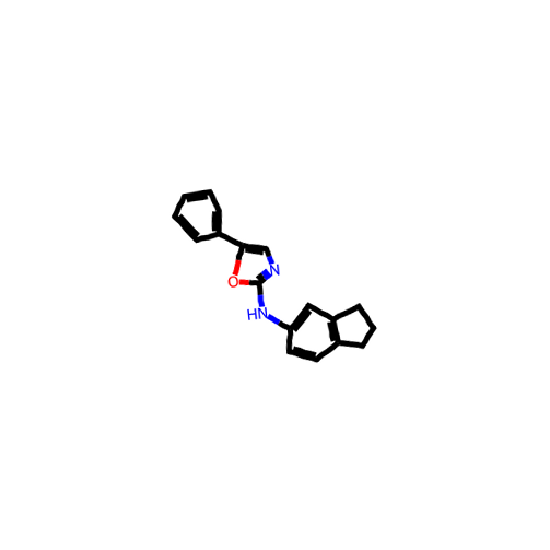 c1ccc(-c2cnc(Nc3ccc4c(c3)CCC4)o2)cc1